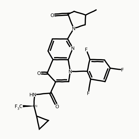 CC1CC(=O)N(c2ccc3c(=O)c(C(=O)N[C@@H](C4CC4)C(F)(F)F)cn(-c4c(F)cc(F)cc4F)c3n2)C1